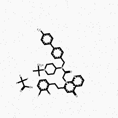 CC(C)(C(=O)O)N1CCC(N(Cc2ccc(-c3ccc(C(F)(F)F)cc3)cc2)C(=O)Cn2c(CCc3cccc(F)c3F)cc(=O)c3cccnc32)CC1.O=C(O)C(F)(F)F